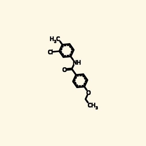 CCOc1ccc(C(=O)Nc2ccc(C)c(Cl)c2)cc1